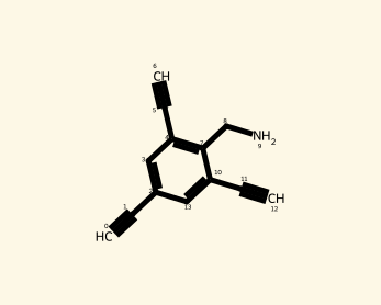 C#Cc1cc(C#C)c(CN)c(C#C)c1